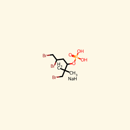 CC(C)(CBr)C(CC(Br)CBr)OP(=O)(O)O.[NaH]